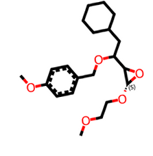 COCCO[C@H]1OC1C(CC1CCCCC1)OCc1ccc(OC)cc1